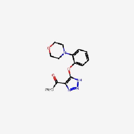 COC(=O)c1nn[nH]c1Oc1ccccc1N1CCOCC1